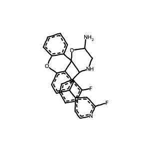 NC1CNC(c2cccnc2F)C2(O1)c1ccccc1Oc1ccc(-c3ccnc(F)c3)cc12